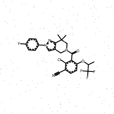 CC(Oc1ccc(C#N)c(Cl)c1C(=O)N1Cc2cn(-c3ccc(F)cc3)nc2C(C)(C)C1)C(F)(F)F